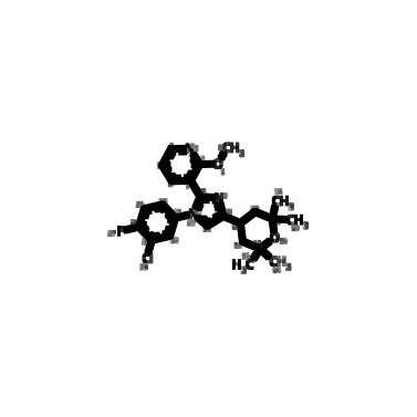 COc1ncccc1-c1nc(C2CC(C)(C)OC(C)(C)C2)cn1-c1ccc(F)c(Cl)c1